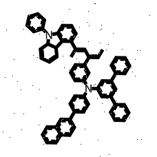 C/C=C(\C=C(/C)c1cccc2c1C1C=CC=CC1N2c1ccccc1)c1cccc(N(c2ccc(-c3ccc4ccccc4c3)cc2)c2cc(-c3ccccc3)cc(-c3ccccc3)c2)c1